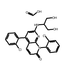 O=CO.O=c1ccc2c(-c3ccccc3Cl)cc(NC(CO)CO)nc2n1-c1ccccc1Cl